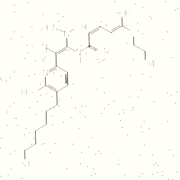 C=C(/C=C\C=C(/C)OCCC)N/C(=C(/N)c1ccc(CCCCCCC)c(C)n1)N(C)N